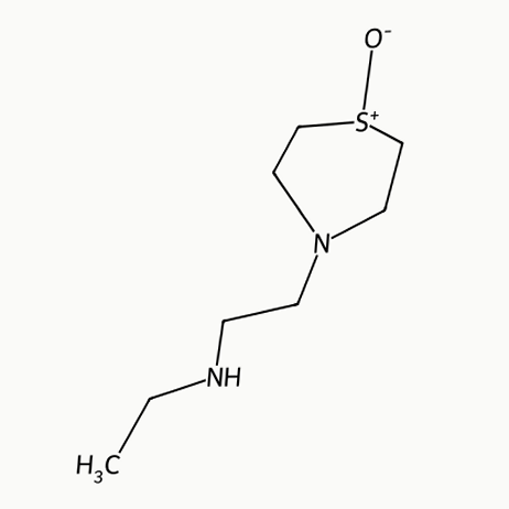 CCNCCN1CC[S+]([O-])CC1